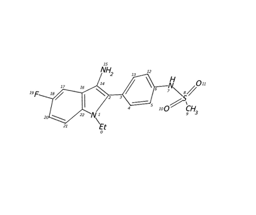 CCn1c(-c2ccc(NS(C)(=O)=O)cc2)c(N)c2cc(F)ccc21